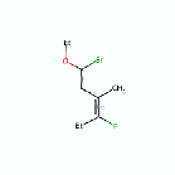 CCOC(Br)C/C(C)=C(/F)CC